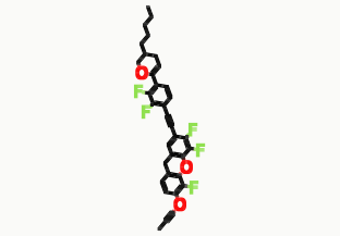 CC#COc1ccc2c(c1F)Oc1c(cc(C#Cc3ccc(C4=CCC(CCCCC)CO4)c(F)c3F)c(F)c1F)C2